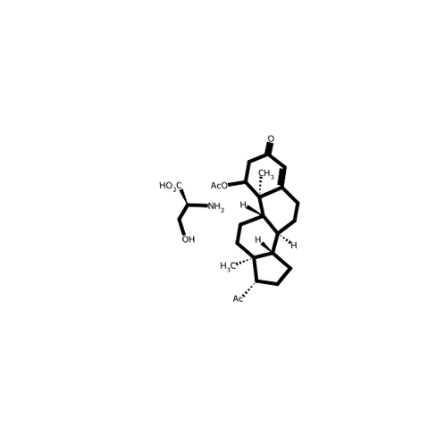 CC(=O)OC1CC(=O)C=C2CC[C@H]3[C@@H]4CC[C@H](C(C)=O)[C@@]4(C)CC[C@@H]3[C@]21C.N[C@@H](CO)C(=O)O